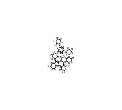 c1ccc(-c2nc(-c3ccccc3)nc(-c3cccc(-n4c5ccccc5c5c6ccccc6c6c7ccccc7ccc6c54)c3)n2)cc1